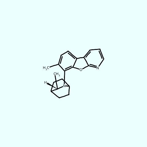 Cc1ccc2c(oc3ncccc32)c1N1C2CCC(CC2)[C@@H]1C